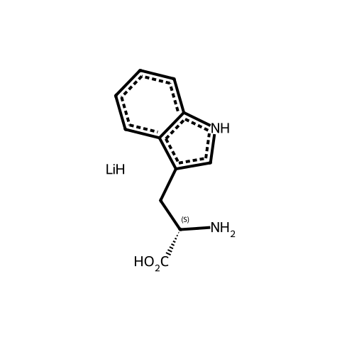 N[C@@H](Cc1c[nH]c2ccccc12)C(=O)O.[LiH]